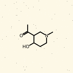 CC(=O)C1CN(C)CCC1O